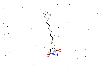 CCCCCCCCCCSC1CC(=O)NC1=O